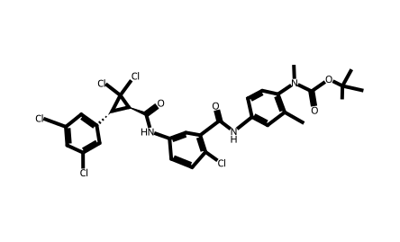 Cc1cc(NC(=O)c2cc(NC(=O)[C@H]3[C@H](c4cc(Cl)cc(Cl)c4)C3(Cl)Cl)ccc2Cl)ccc1N(C)C(=O)OC(C)(C)C